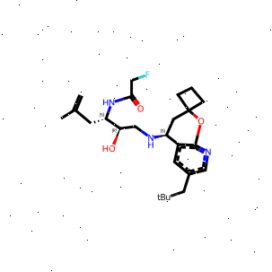 C=C(C)C[C@H](NC(=O)CF)[C@H](O)CN[C@H]1CC2(CCC2)Oc2ncc(CC(C)(C)C)cc21